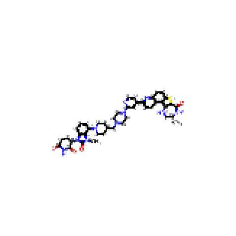 C[C@@H]1CNc2c(sc3ccc4nc(-c5ccnc(N6CCN(CC7CCN(c8cccc9c8n(C)c(=O)n9C8CCC(=O)NC8=O)CC7)CC6)c5)ccc4c23)C(=O)N1